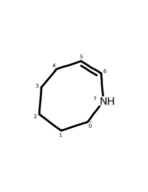 [CH]1CCCCC=CN1